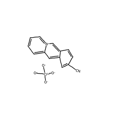 N#Cc1ccc2c[n+]3ccccc3cc2c1.[O-][Cl+3]([O-])([O-])[O-]